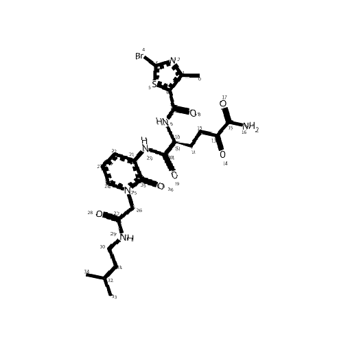 Cc1nc(Br)sc1C(=O)N[C@@H](CCC(=O)C(N)=O)C(=O)Nc1cccn(CC(=O)NCCC(C)C)c1=O